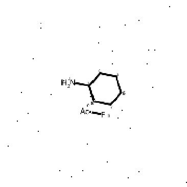 CC(=O)F.NC1CCCCC1